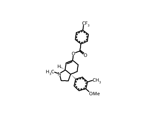 COc1ccc([C@@]23CCC(OC(=O)c4ccc(C(F)(F)F)cc4)=C[C@@H]2N(C)CC3)cc1C